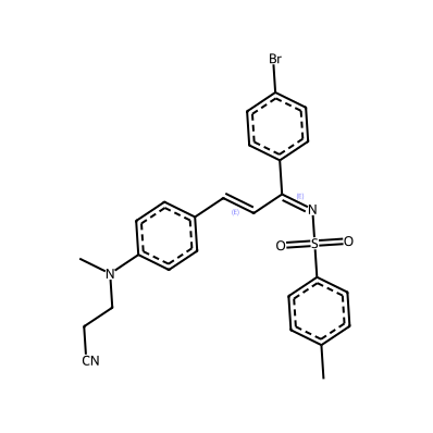 Cc1ccc(S(=O)(=O)/N=C(\C=C\c2ccc(N(C)CCC#N)cc2)c2ccc(Br)cc2)cc1